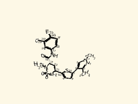 Cc1nn(C)cc1-c1ccc(C2C[C@@H](C(=O)Nc3ccc(F)c(Cl)c3)N(C)S(=O)(=O)N2)s1